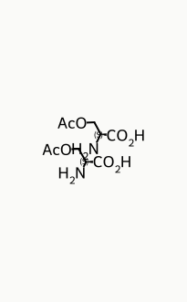 CC(=O)OC[C@H](N)C(=O)O.CC(=O)OC[C@H](N)C(=O)O